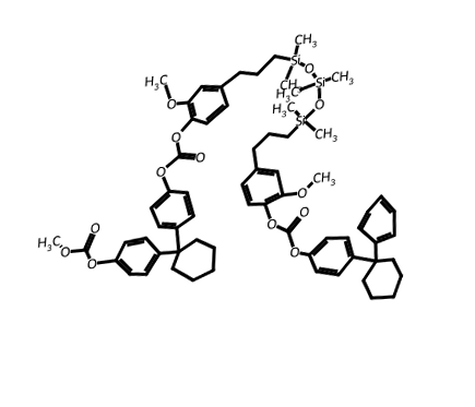 COC(=O)Oc1ccc(C2(c3ccc(OC(=O)Oc4ccc(CCC[Si](C)(C)O[Si](C)(C)O[Si](C)(C)CCCc5ccc(OC(=O)Oc6ccc(C7(c8ccccc8)CCCCC7)cc6)c(OC)c5)cc4OC)cc3)CCCCC2)cc1